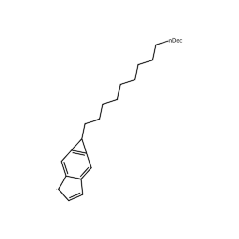 CCCCCCCCCCCCCCCCCCCC1c2cc3c(cc21)C=C[CH]3